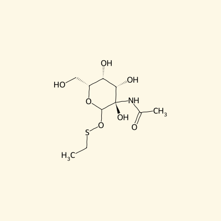 CCSOC1O[C@H](CO)[C@H](O)[C@H](O)[C@]1(O)NC(C)=O